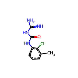 Cc1cccc(NC(=O)NC(=N)N)c1Cl